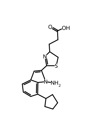 Nn1c(C2=NC(CCC(=O)O)CS2)cc2cccc(C3CCCC3)c21